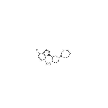 Cc1ccc(F)c2ccn([C@@H]3CCC[C@@H](N4CCCOCC4)C3)c12